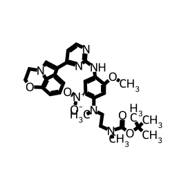 COc1cc(N(C)CCN(C)C(=O)OC(C)(C)C)c([N+](=O)[O-])cc1Nc1nccc(-c2cn3c4c(cccc24)OCC3)n1